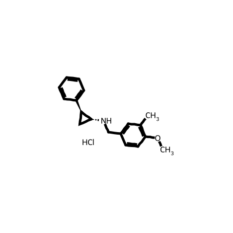 COc1ccc(CN[C@@H]2C[C@H]2c2ccccc2)cc1C.Cl